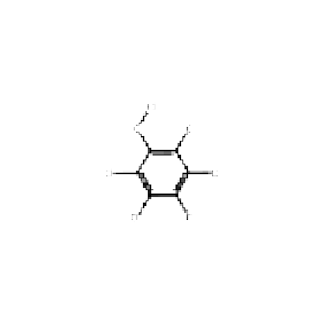 ClOc1c(Cl)c(Cl)c(Cl)c(Cl)c1Cl